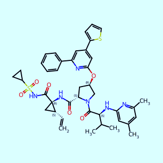 C=C[C@@H]1C[C@]1(NC(=O)[C@@H]1C[C@@H](Oc2cc(-c3cccs3)cc(-c3ccccc3)n2)CN1C(=O)[C@@H](Nc1cc(C)cc(C)n1)C(C)C)C(=O)NS(=O)(=O)C1CC1